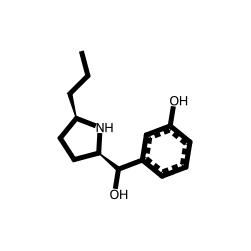 CCC[C@@H]1CC[C@H](C(O)c2cccc(O)c2)N1